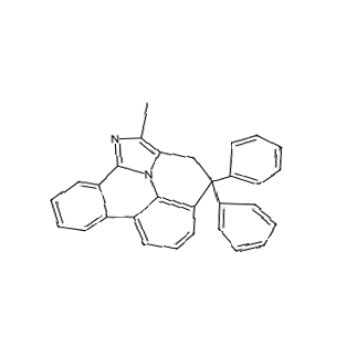 Cc1nc2c3ccccc3c3cccc4c3n2c1CC4(c1ccccc1)c1ccccc1